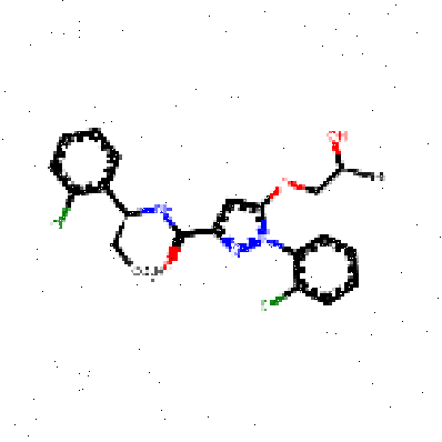 CC(C)(C)[C@H](O)COc1cc(C(=O)N[C@@H](CC(=O)O)c2ccccc2Cl)nn1-c1ccccc1Cl